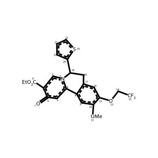 CCOC(=O)c1cn2c(cc1=O)-c1cc(OC)c(OCC(F)(F)F)cc1CC2c1cccs1